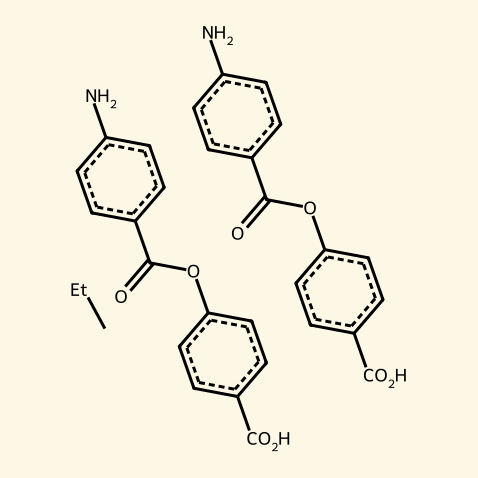 CCC.Nc1ccc(C(=O)Oc2ccc(C(=O)O)cc2)cc1.Nc1ccc(C(=O)Oc2ccc(C(=O)O)cc2)cc1